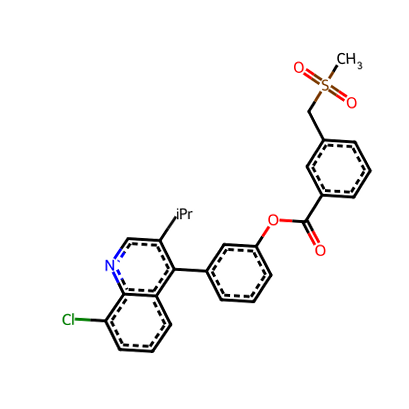 CC(C)c1cnc2c(Cl)cccc2c1-c1cccc(OC(=O)c2cccc(CS(C)(=O)=O)c2)c1